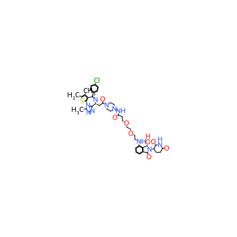 Cc1sc2c(c1C)C(c1ccc(Cl)cc1)=N[C@@H](CC(=O)N1CCN(NC(=O)CCOCCOCCNc3cccc4c3C(O)N(C3CCC(=O)NC3=O)C4=O)CC1)c1nnc(C)n1-2